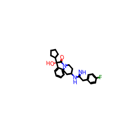 N=C(Cc1ccc(F)cc1)NC1CCN(C(=O)[C@](O)(c2ccccc2)C2CCCC2)CC1